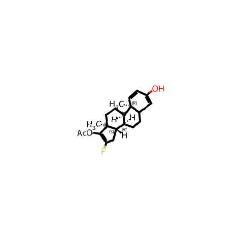 CC(=O)OC1=C(F)C[C@H]2[C@@H]3CCC4C=C(O)C=C[C@]4(C)[C@@H]3CC[C@]12C